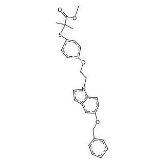 COC(=O)C(C)(C)Sc1ccc(OCCn2ccc3cc(OCc4ccccc4)ccc32)cc1